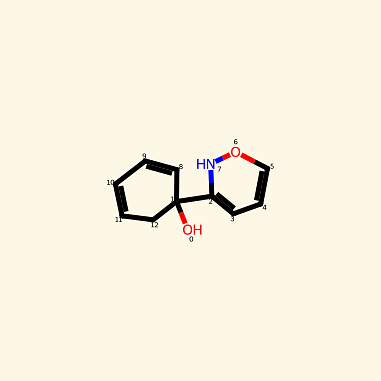 OC1(C2=CC=CON2)C=CC=CC1